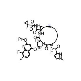 CC(C)Oc1cc(O[C@@H]2C[C@H]3C(=O)N[C@]4(C(=O)NS(=O)(=O)C5(C)CC5)CC4/C=C\CCCCC[C@H](NC(=O)c4ccn(C)n4)C(=O)N3C2)c2ccc(F)c(F)c2n1